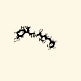 O=C(NCCc1c[nH]c2ccc(Cl)cc12)c1cc(Cc2ccco2)on1